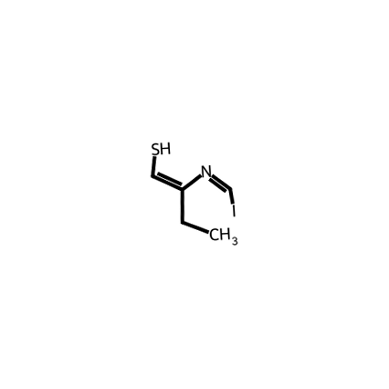 CCC(=C/S)/N=C\I